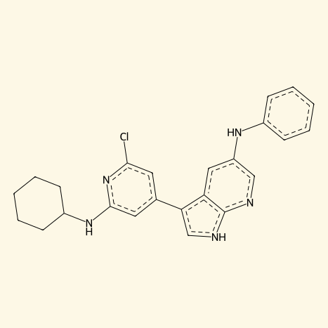 Clc1cc(-c2c[nH]c3ncc(Nc4ccccc4)cc23)cc(NC2CCCCC2)n1